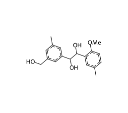 COc1ccc(C)cc1C(O)C(O)c1cc(C)cc(CO)c1